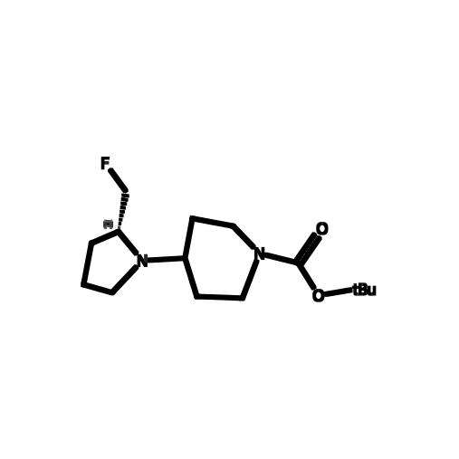 CC(C)(C)OC(=O)N1CCC(N2CCC[C@@H]2CF)CC1